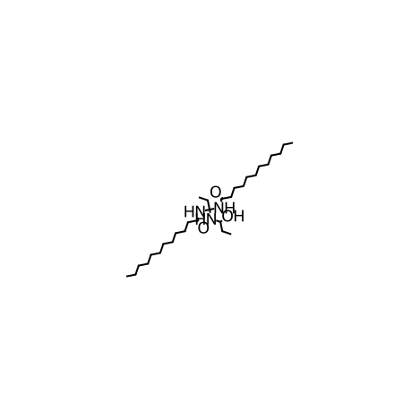 CCCCCCCCCCCC(=O)NC(CC)(NC(=O)CCCCCCCCCCC)NC(O)CC